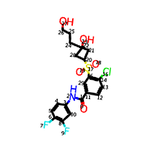 O=C(Nc1ccc(F)c(F)c1)c1ccc(Cl)c(S(=O)(=O)C2CC(O)(CCCO)C2)c1